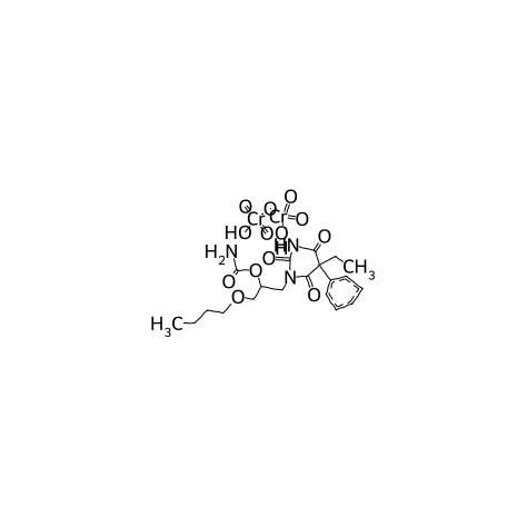 CCCCOCC(CN1C(=O)NC(=O)C(CC)(c2ccccc2)C1=O)OC(N)=O.[O]=[Cr](=[O])([OH])[O][Cr](=[O])(=[O])[OH]